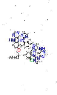 COCCOc1ccc(Nc2cc(-n3ccnc3Nc3c(C)ccc(Cn4cc(Nc5cc(-n6ccnc6Nc6c(C)cccc6Cl)ncn5)cn4)c3C)ncn2)cc1